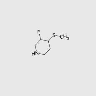 CSC1CCNCC1F